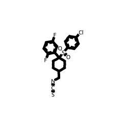 O=S(=O)(c1ccc(Cl)cc1)C1(c2cc(F)ccc2F)CCC(CN=C=S)CC1